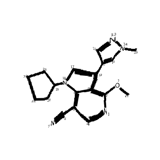 COc1ncc(C#N)c2c1c(-c1cnn(C)c1)cn2C1CCCC1